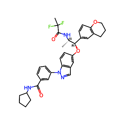 C[C@H](NC(=O)C(C)(F)F)[C@H](Oc1ccc2c(cnn2-c2cccc(C(=O)NC3CCCC3)c2)c1)c1ccc2c(c1)CCCO2